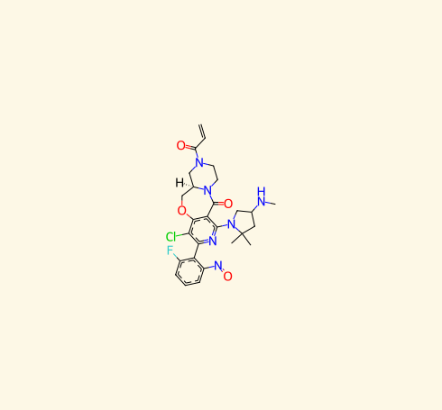 C=CC(=O)N1CCN2C(=O)c3c(N4CC(NC)CC4(C)C)nc(-c4c(F)cccc4N=O)c(Cl)c3OC[C@H]2C1